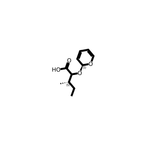 CC[C@H](C)C(O[C@H]1C=CC=CO1)C(=O)O